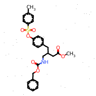 COC(=O)CC(CNC(=O)OCc1ccccc1)Cc1ccc(OS(=O)(=O)c2ccc(C)cc2)cc1